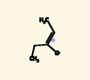 C/C=C(/[O])CC